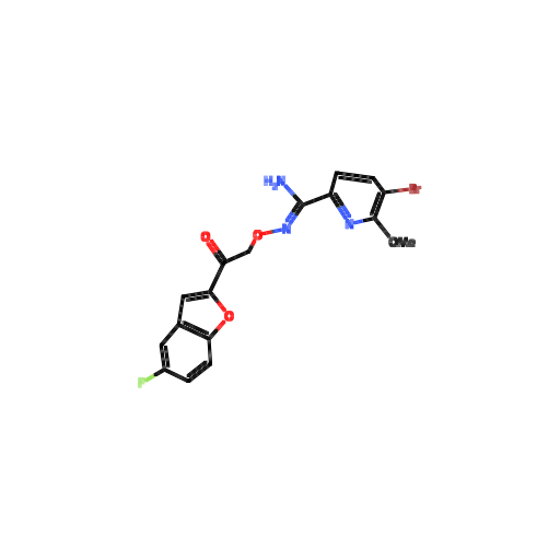 COc1nc(/C(N)=N/OCC(=O)c2cc3cc(F)ccc3o2)ccc1Br